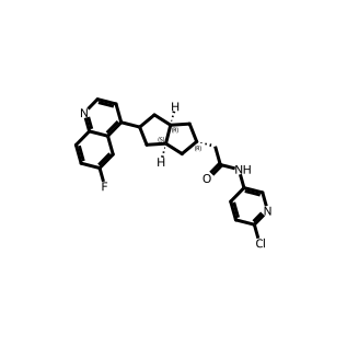 O=C(C[C@@H]1C[C@H]2CC(c3ccnc4ccc(F)cc34)C[C@H]2C1)Nc1ccc(Cl)nc1